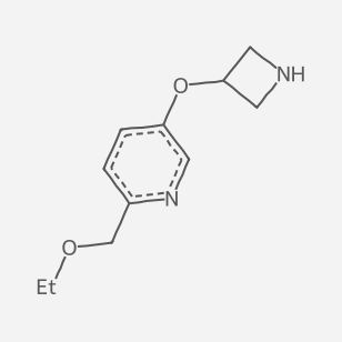 CCOCc1ccc(OC2CNC2)cn1